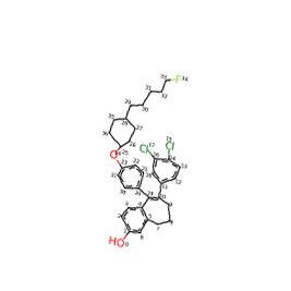 Oc1ccc2c(c1)CCCC(c1ccc(Cl)c(Cl)c1)=C2c1ccc(OC2CCC(CCCCCF)CC2)cc1